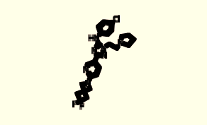 FC1(F)CC2(CN(c3ccc(-c4nc(Nc5ccc(Cl)cc5)n(CCN5CCCC5)n4)cn3)C2)C1